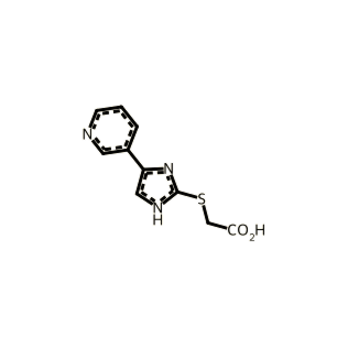 O=C(O)CSc1nc(-c2cccnc2)c[nH]1